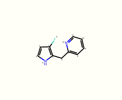 Fc1cc[nH]c1Cc1ccccn1